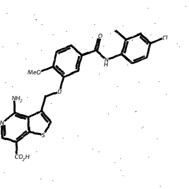 COc1ccc(C(=O)Nc2ccc(Cl)cc2C)cc1OCc1csc2c(C(=O)O)cnc(N)c12